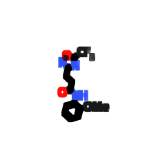 COc1ccccc1NC(=O)CCc1noc(C(F)(F)F)n1